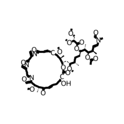 COC[C@@H](OC)C(=O)O[C@H](CC[C@H](C)[C@@H](C[C@@H]1OC(=O)C[C@@H](O)C/C=C/C(=O)[C@H](C)[C@H](OC)c2coc(n2)-c2coc(n2)-c2coc(n2)/C=C/C[C@H](OC)[C@H]1C)OC)[C@H](C)[C@H](OC(C)=O)[C@H](C)/C=C/N(C)C=O